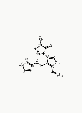 C=Cc1occ(-n2nnn(C)c2=O)c1COc1cc[nH]n1